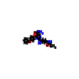 C=CC(=O)NC1CC2(C1)CC(Nc1ncc(C(N)=O)c(Oc3ccc(Oc4ccccc4)cc3)n1)C2